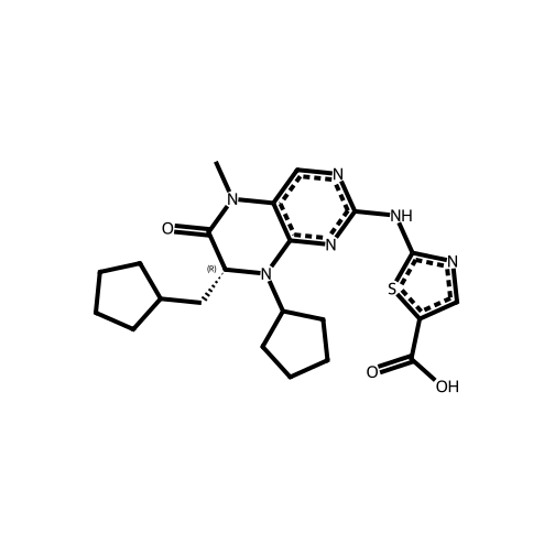 CN1C(=O)[C@@H](CC2CCCC2)N(C2CCCC2)c2nc(Nc3ncc(C(=O)O)s3)ncc21